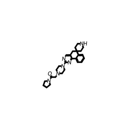 O=C(CN1CCN(c2ncc3c(n2)-c2ccccc2C2(CCNCC2)C3)CC1)N1CCCC1